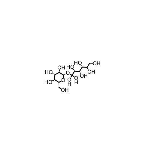 OC[C@@H](O)[C@@H](O)[C@H](O)[C@H](O)C(O)(O)O[C@@H]1O[C@H](CO)[C@@H](O)[C@H](O)[C@H]1O